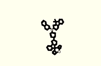 CC1(C)c2ccccc2-c2ccc(N(c3ccc(-c4ccc5c(c4)-c4ccccc4C54c5ccccc5Oc5ccccc54)cc3)c3ccc4ccccc4c3)cc21